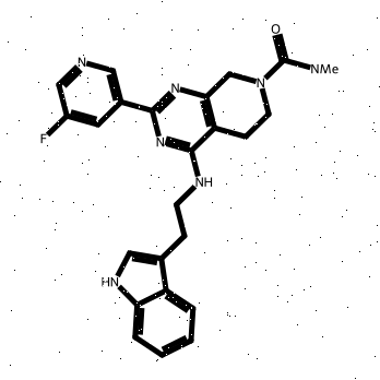 CNC(=O)N1CCc2c(nc(-c3cncc(F)c3)nc2NCCc2c[nH]c3ccccc23)C1